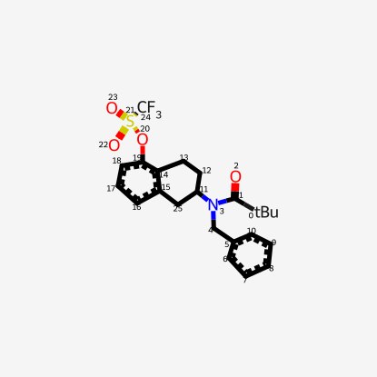 CC(C)(C)C(=O)N(Cc1ccccc1)C1CCc2c(cccc2OS(=O)(=O)C(F)(F)F)C1